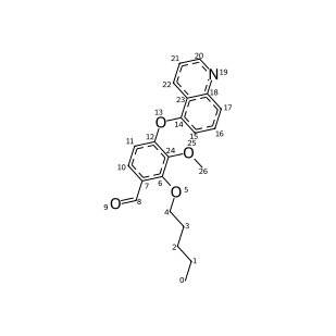 CCCCCOc1c(C=O)ccc(Oc2cccc3ncccc23)c1OC